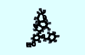 CCOc1ccc(C2=Cc3c(C)cc4c(c3OC2)C=CC(C)(C)O4)c(OCc2ccccc2)c1